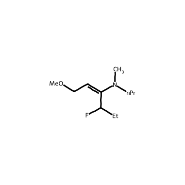 CCCN(C)/C(=C/COC)C(F)CC